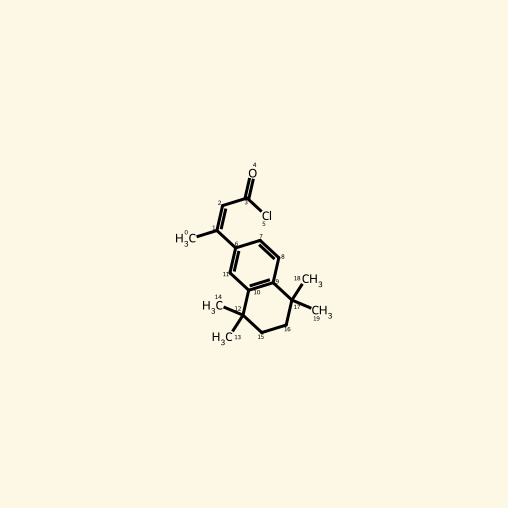 C/C(=C/C(=O)Cl)c1ccc2c(c1)C(C)(C)CCC2(C)C